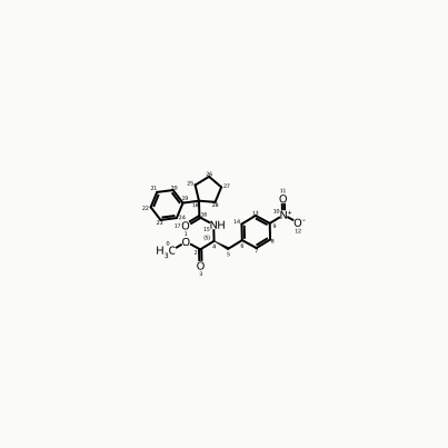 COC(=O)[C@H](Cc1ccc([N+](=O)[O-])cc1)NC(=O)C1(c2ccccc2)CCCC1